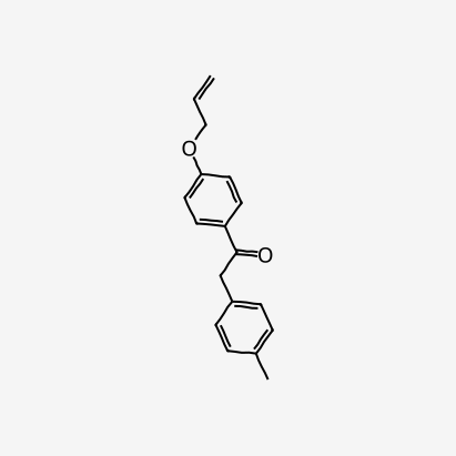 C=CCOc1ccc(C(=O)Cc2ccc(C)cc2)cc1